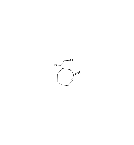 O=C1OCCCCCO1.OCCO